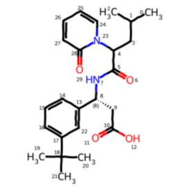 CC(C)CC(C(=O)N[C@H](CC(=O)O)c1cccc(C(C)(C)C)c1)n1ccccc1=O